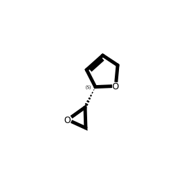 C1=C[C@@H](C2CO2)OC1